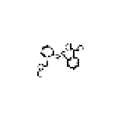 O=C(Cl)c1ccccc1SSC1CC=CC=C1COCl